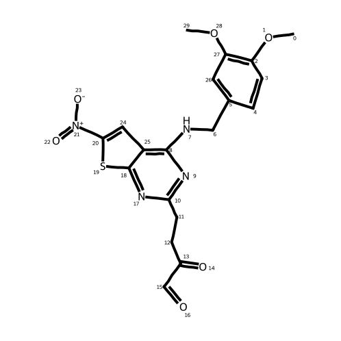 COc1ccc(CNc2nc(CCC(=O)C=O)nc3sc([N+](=O)[O-])cc23)cc1OC